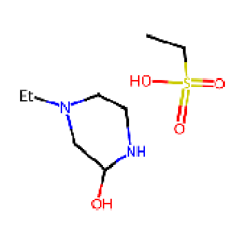 CCN1CCNC(O)C1.CCS(=O)(=O)O